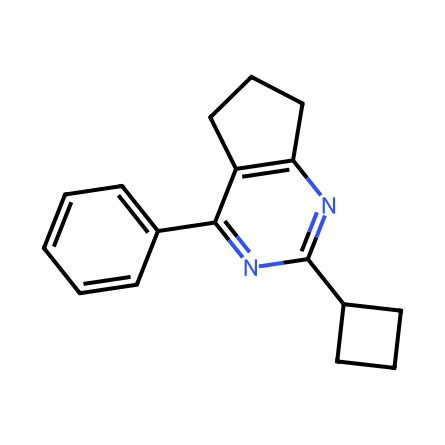 c1ccc(-c2nc(C3CCC3)nc3c2CCC3)cc1